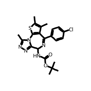 Cc1sc2c(c1C)C(c1ccc(Cl)cc1)=NC(NC(=O)OC(C)(C)C)c1nnc(C)n1-2